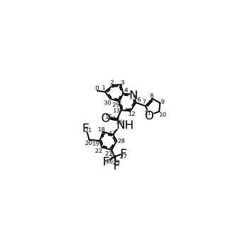 Cc1ccc2nc(C3=CCCO3)cc(C(=O)Nc3cc(CF)cc(C(F)(F)F)c3)c2c1